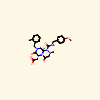 COc1ccc(CNC(=O)N2[C@H]3CN(Cc4ccccc4C)C(=O)[C@H](CC(=O)O)N3C(=O)CN2C)cc1